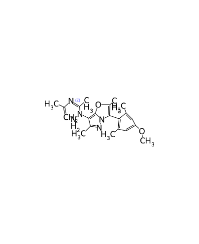 C=C(C)/N=C(/C)N(N)c1c(C)nn2c(-c3c(C)cc(OC)cc3C)c(C)oc12